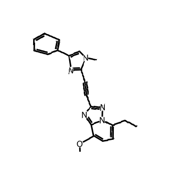 CCc1ccc(OC)c2nc(C#Cc3nc(-c4ccccc4)cn3C)nn12